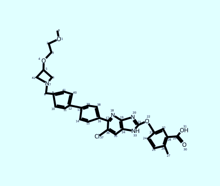 COCCOC1CN(Cc2ccc(-c3ccc(-c4nc5nc(Oc6ccc(C)c(C(=O)O)c6)[nH]c5cc4Cl)cc3)cc2)C1